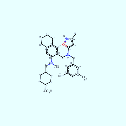 CCN(C[C@H]1CC[C@H](C(=O)O)CC1)c1cc2c(cc1CN(Cc1cc(C#N)cc(C(F)(F)F)c1)c1cc(C)no1)CCCC2